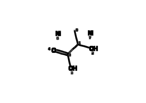 CC(O)C(=O)O.[Ni].[Ni]